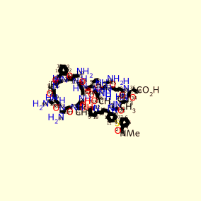 CNC(=O)c1ccccc1Sc1ccc2c(/C=C/c3ccccn3)nn(C(=O)NC(C)(C)CNC(=O)[C@H](CCC(=O)O)NC(=O)CCC(=O)N[C@@H](CCN)C(=O)N[C@H](C(=O)N[C@@H](CCN)C(=O)N[C@H]3CCNC(=O)[C@H]([C@@H](C)O)NC(=O)[C@H](CCN)NC(=O)[C@H](CCN)NC(=O)[C@H](CC(C)C)NC(=O)[C@@H](Cc4ccccc4)NC(=O)C(CCN)NC3=O)[C@@H](C)O)c2c1